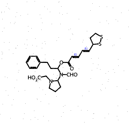 O=CN(C(CCc1ccccc1)OC(=O)/C=C/C=C/C1CCSS1)C1CCCN1CC(=O)O